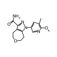 COc1ncc(-n2nc(C(N)=O)c3c2CCOCC3)cc1C